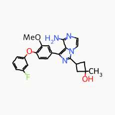 COc1cc(-c2nc(C3CC(C)(O)C3)n3ccnc(N)c23)ccc1Oc1cccc(F)c1